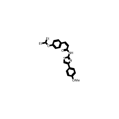 CCC(CC)Oc1ccc(/C=C\C(=O)Nc2nc(-c3ccc(OC)cc3)cs2)cc1